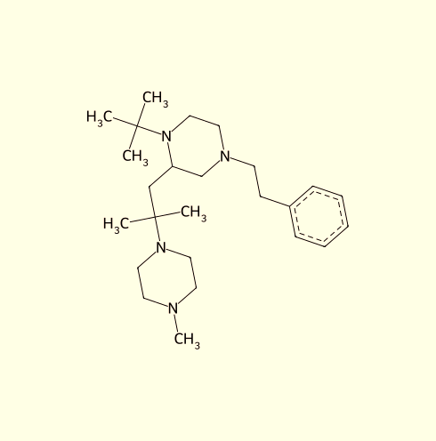 CN1CCN(C(C)(C)CC2CN(CCc3ccccc3)CCN2C(C)(C)C)CC1